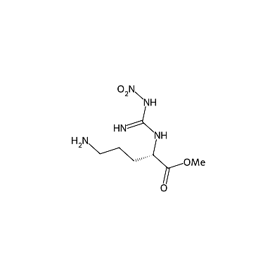 COC(=O)[C@H](CCCN)NC(=N)N[N+](=O)[O-]